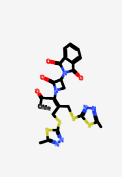 COC(=O)C(=C(CSc1nnc(C)s1)CSc1nnc(C)s1)N1CC(N2C(=O)c3ccccc3C2=O)C1=O